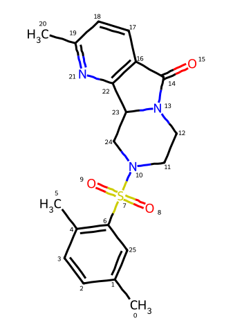 Cc1ccc(C)c(S(=O)(=O)N2CCN3C(=O)c4ccc(C)nc4C3C2)c1